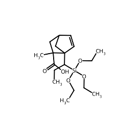 CCO[Si](OCC)(OCC)C(CC)C12C=CC(CC1(C)C(=O)O)C2